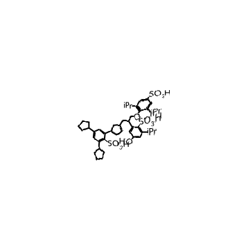 CC(C)c1cc(S(=O)(=O)O)cc(C(C)C)c1OCC(CC1CCC(c2cc(C3CCCC3)cc(C3CCCC3)c2S(=O)(=O)O)C1)c1cc(O)cc(C(C)C)c1S(=O)(=O)O